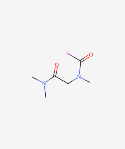 CN(C)C(=O)CN(C)C(=O)I